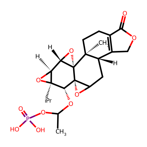 CC(O[C@@H]1[C@@]2(C(C)C)O[C@H]2[C@@H]2O[C@@]23[C@@]2(C)CCC4=C(COC4=O)[C@@H]2CC2O[C@]213)OP(=O)(O)O